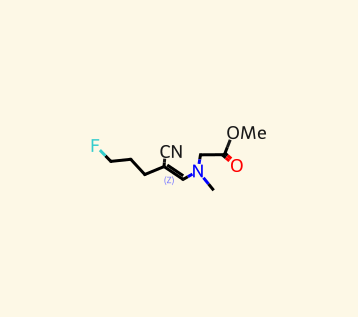 COC(=O)CN(C)/C=C(\C#N)CCCF